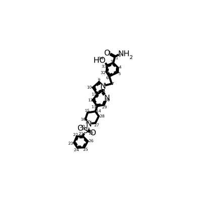 NC(=O)c1ccc(Cn2ccc3cc(C4CCN(S(=O)(=O)c5ccccc5)CC4)cnc32)cc1O